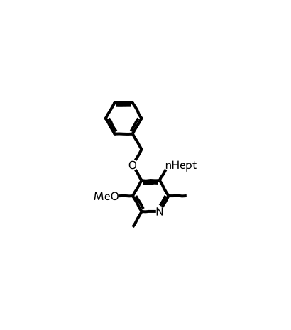 CCCCCCCc1c(C)nc(C)c(OC)c1OCc1ccccc1